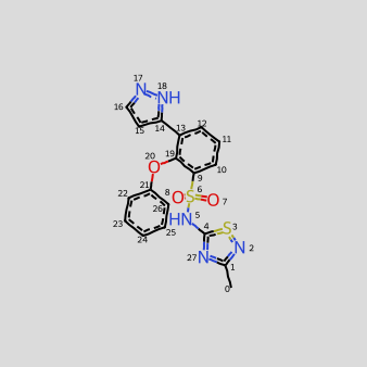 Cc1nsc(NS(=O)(=O)c2cccc(-c3ccn[nH]3)c2Oc2ccccc2)n1